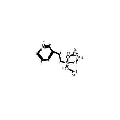 CCO[Si](CCc1cccnc1)(OCC)OCC